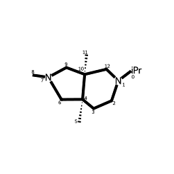 CC(C)N1CC[C@@]2(C)CN(C)C[C@@]2(C)C1